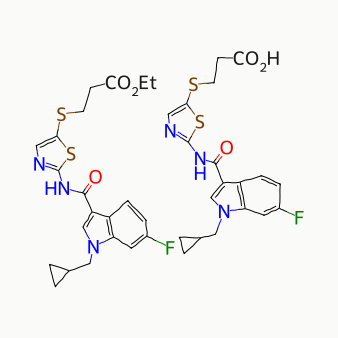 CCOC(=O)CCSc1cnc(NC(=O)c2cn(CC3CC3)c3cc(F)ccc23)s1.O=C(O)CCSc1cnc(NC(=O)c2cn(CC3CC3)c3cc(F)ccc23)s1